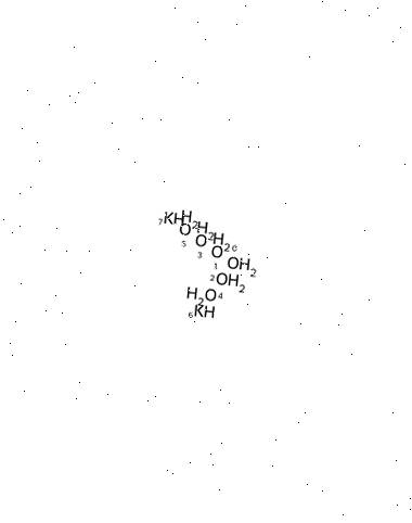 O.O.O.O.O.O.[KH].[KH]